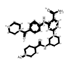 CC(=O)N1CCC(C(=O)NC2CCCN(c3nnc(C(N)=O)c(Nc4ccc(C(=O)N5CCOCC5)cc4)n3)C2)CC1